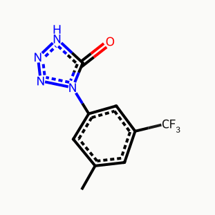 Cc1cc(-n2nn[nH]c2=O)cc(C(F)(F)F)c1